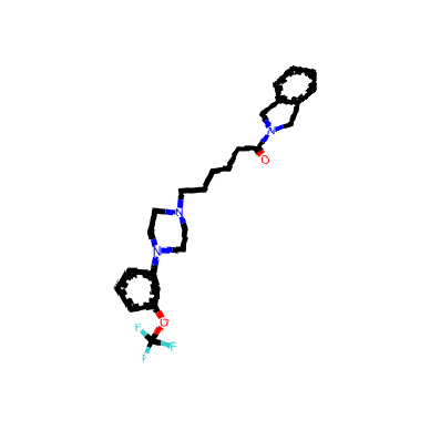 O=C(CCCCCN1CCN(c2cccc(OC(F)(F)F)c2)CC1)N1Cc2ccccc2C1